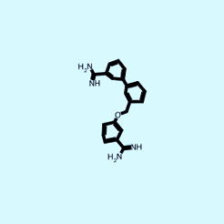 N=C(N)c1cccc(OCc2cccc(-c3cccc(C(=N)N)c3)c2)c1